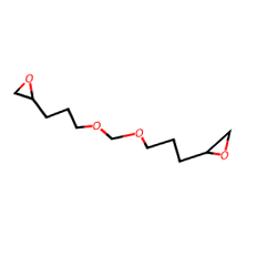 C(COCOCCCC1CO1)CC1CO1